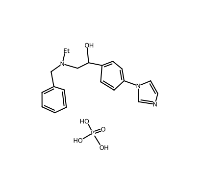 CCN(Cc1ccccc1)CC(O)c1ccc(-n2ccnc2)cc1.O=P(O)(O)O